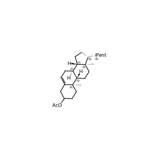 CCC[C@@H](C)[C@H]1CC[C@H]2[C@@H]3CC=C4C[C](OC(C)=O)CC[C@]4(C)[C@H]3CC[C@]12C